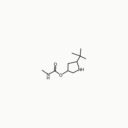 CNC(=O)OC1CNC(C(C)(C)C)C1